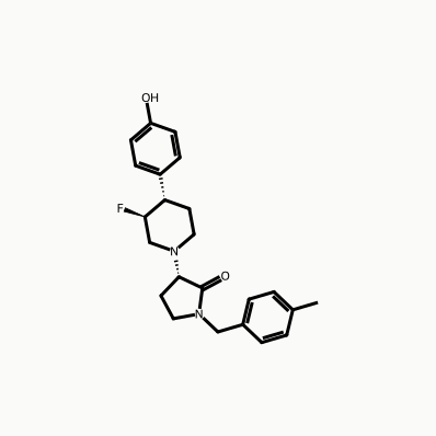 Cc1ccc(CN2CC[C@H](N3CC[C@@H](c4ccc(O)cc4)[C@H](F)C3)C2=O)cc1